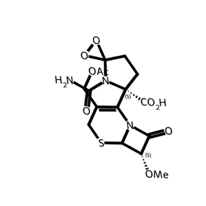 CO[C@H]1C(=O)N2C([C@]3(C(=O)O)CCC4(OO4)N3C(N)=O)=C(COC(C)=O)CSC12